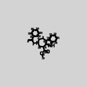 C=C(CN1CCc2c([nH]c3ccccc23)C(C(=O)OC)C1)c1ccccc1